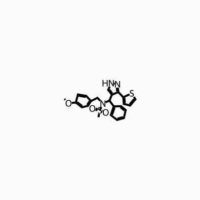 COc1ccc(CN(C(c2ccccc2)c2c[nH]nc2-c2cccs2)S(C)(=O)=O)cc1